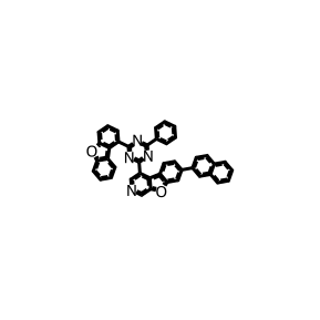 c1ccc(-c2nc(-c3cccc4oc5ccccc5c34)nc(-c3cncc4oc5cc(-c6ccc7ccccc7c6)ccc5c34)n2)cc1